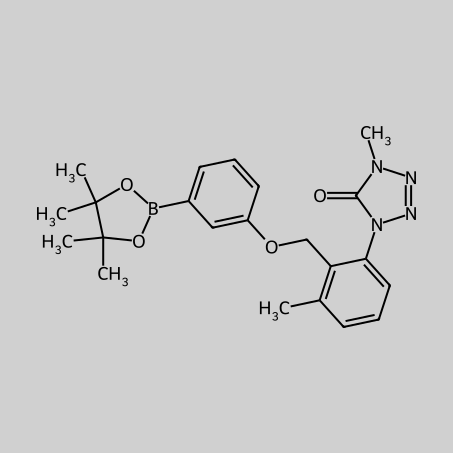 Cc1cccc(-n2nnn(C)c2=O)c1COc1cccc(B2OC(C)(C)C(C)(C)O2)c1